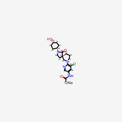 COC(=O)Nc1cnc(N2CCC[C@]3(CCN([C@H]4CC[C@@H](O)CC4)C3=O)C2)c(Cl)c1